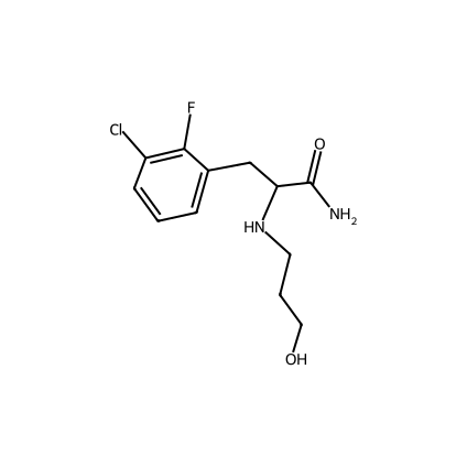 NC(=O)C(Cc1cccc(Cl)c1F)NCCCO